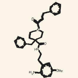 COc1ccc(P)c(CCNC(=O)C2(Cc3ccccc3)CCN(C(=O)CCc3ccccc3)CC2)c1